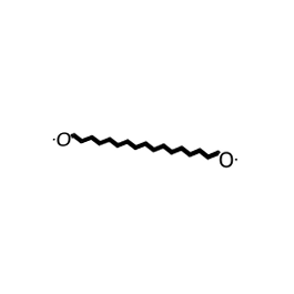 [O]CCCCCCCCCCCCCCCCC[O]